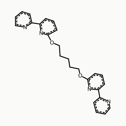 c1ccc(-c2cccc(OCCCCCOc3cccc(-c4ccccn4)n3)n2)nc1